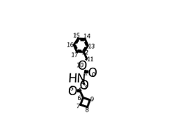 O=C(NOC(=O)C1CCC1)OCc1ccccc1